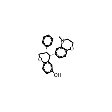 CN1CCOc2ccc([C@@H]3c4cc(O)ccc4OC[C@@H]3c3ccccc3)cc21